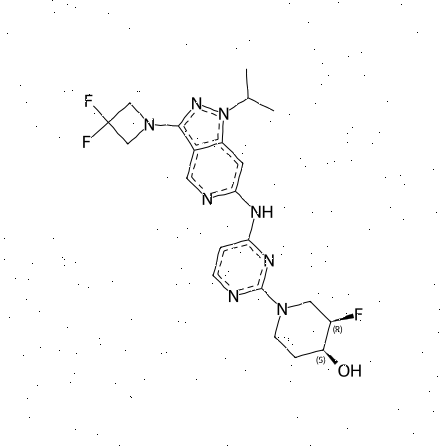 CC(C)n1nc(N2CC(F)(F)C2)c2cnc(Nc3ccnc(N4CC[C@H](O)[C@H](F)C4)n3)cc21